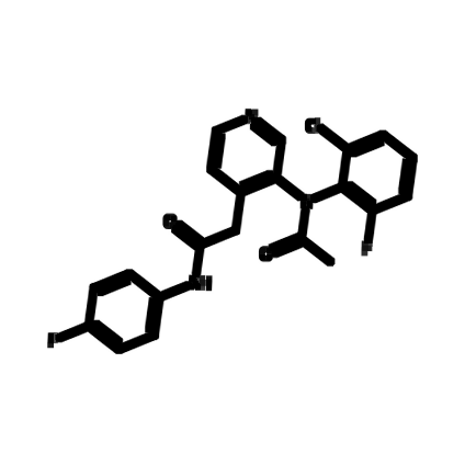 CC(=O)N(c1cnccc1CC(=O)Nc1ccc(F)cc1)c1c(F)cccc1Cl